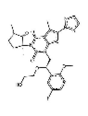 COc1ccc(F)cc1[C@H](Cn1c(=O)n([C@@]2(C)CCN(C)C2=O)c(=O)c2c(C)c(-n3nccn3)sc21)OCCO